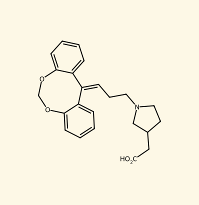 O=C(O)CC1CCN(CCC=C2c3ccccc3OCOc3ccccc32)C1